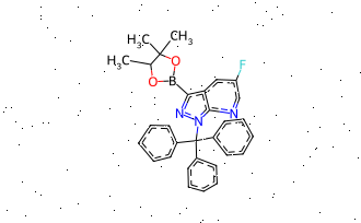 CC1OB(c2nn(C(c3ccccc3)(c3ccccc3)c3ccccc3)c3ncc(F)cc23)OC1(C)C